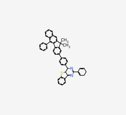 CC1(C)c2cc(-c3ccc(C4N=C(C5=CCCC=C5)N=C5c6ccccc6SC54)cc3)ccc2-c2c1cc1ccccc1c2-c1ccccc1